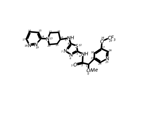 COC(C(=O)Nc1nnc(NC2CCN(c3cccnn3)CC2)s1)c1cncc(OC(F)(F)F)c1